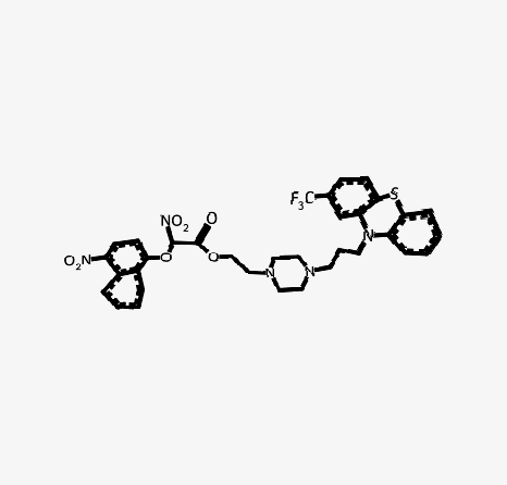 O=C(OCCN1CCN(CCCN2c3ccccc3Sc3ccc(C(F)(F)F)cc32)CC1)C(Oc1ccc([N+](=O)[O-])c2ccccc12)[N+](=O)[O-]